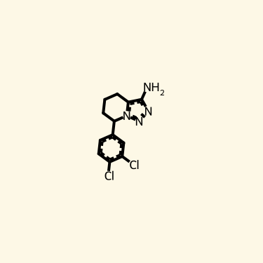 Nc1nnn2c1CCCC2c1ccc(Cl)c(Cl)c1